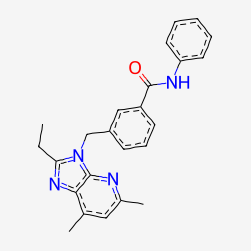 CCc1nc2c(C)cc(C)nc2n1Cc1cccc(C(=O)Nc2ccccc2)c1